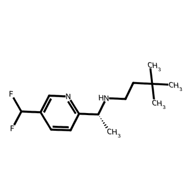 C[C@@H](NCCC(C)(C)C)c1ccc(C(F)F)cn1